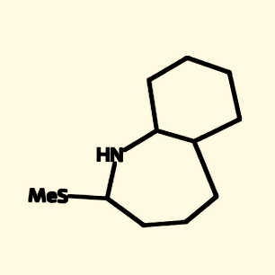 CSC1CCCC2CCCCC2N1